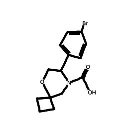 O=C(O)N1CC2(CCC2)OCC1c1ccc(Br)cc1